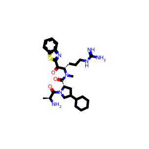 C[C@H](N)C(=O)N1CC(C2CCCCC2)C[C@H]1C(=O)N(C)[C@@H](CCCNC(=N)N)C(=O)c1nc2ccccc2s1